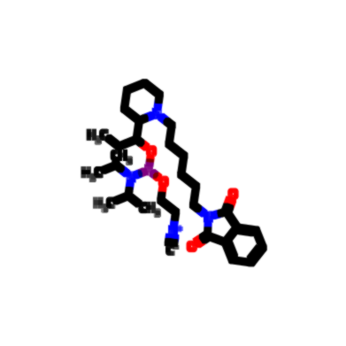 [C-]#[N+]CCOP(OC(CC)C1CCCCN1CCCCCCN1C(=O)c2ccccc2C1=O)N(C(C)C)C(C)C